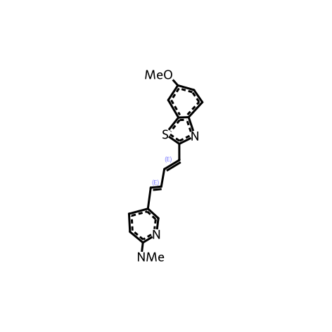 CNc1ccc(/C=C/C=C/c2nc3ccc(OC)cc3s2)cn1